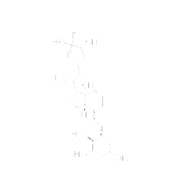 C=C1C(=CC=C2CCC[C@]3(C)[C@@H]([C@H](C)CCCC(C)C(O)(F)F)CC[C@@H]23)CC(O)CC1O